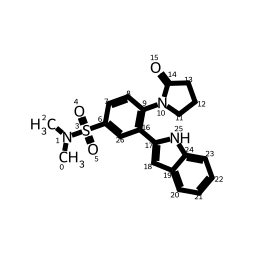 CN(C)S(=O)(=O)c1ccc(N2CCCC2=O)c(-c2cc3ccccc3[nH]2)c1